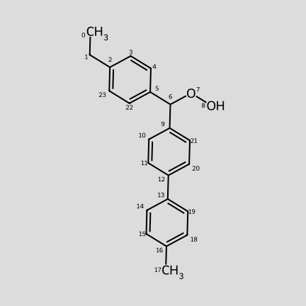 CCc1ccc(C(OO)c2ccc(-c3ccc(C)cc3)cc2)cc1